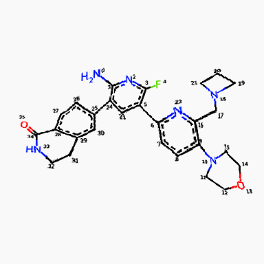 Nc1nc(F)c(-c2ccc(N3CCOCC3)c(CN3CCC3)n2)cc1-c1ccc2c(c1)CCNC2=O